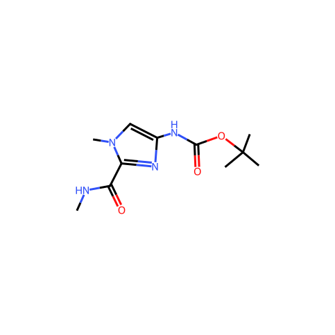 CNC(=O)c1nc(NC(=O)OC(C)(C)C)cn1C